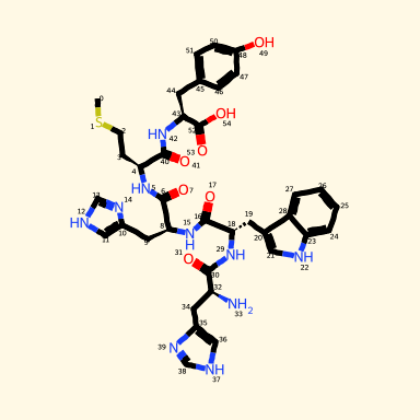 CSCC[C@H](NC(=O)[C@H](Cc1c[nH]cn1)NC(=O)[C@H](Cc1c[nH]c2ccccc12)NC(=O)[C@@H](N)Cc1c[nH]cn1)C(=O)N[C@@H](Cc1ccc(O)cc1)C(=O)O